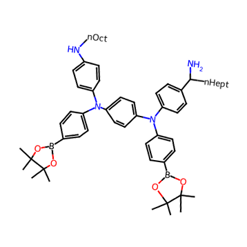 CCCCCCCCNc1ccc(N(c2ccc(B3OC(C)(C)C(C)(C)O3)cc2)c2ccc(N(c3ccc(B4OC(C)(C)C(C)(C)O4)cc3)c3ccc(C(N)CCCCCCC)cc3)cc2)cc1